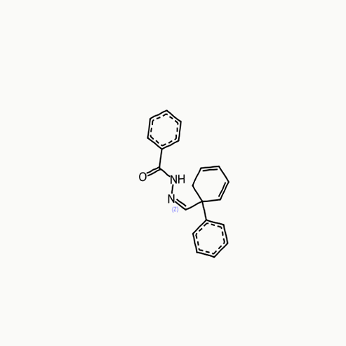 O=C(N/N=C\C1(c2ccccc2)C=CC=CC1)c1ccccc1